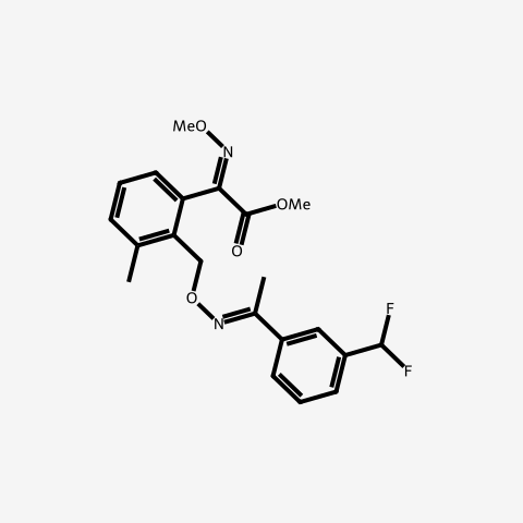 CO/N=C(/C(=O)OC)c1cccc(C)c1CO/N=C(\C)c1cccc(C(F)F)c1